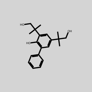 CC(C)(CO)c1cc(-c2ccccc2)c(O)c(C(C)(C)CO)c1